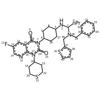 CCCC(NC1CCC(n2c(=O)c3cc(F)cnc3n(C3CCSCC3)c2=O)CC1)N(Cc1ccccc1)Cc1cccs1